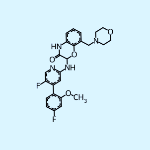 COc1cc(F)ccc1-c1cc(NC2Oc3c(CN4CCOCC4)cccc3NC2=O)ncc1F